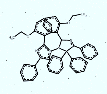 CCOc1ccccc1-c1nc(-c2ccccc2)cn1N1C(c2ccccc2OCC)N=C(c2ccccc2)C1(c1ccccc1)c1ccccc1